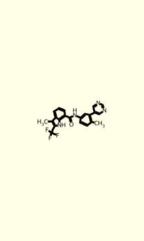 Cc1ccc(NC(=O)c2cccc3c(C)c(C(F)(F)F)[nH]c23)cc1-c1cncnc1